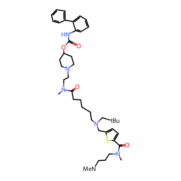 CNCCCN(C)C(=O)c1ccc(CN(CCCCCC(=O)N(C)CCN2CCC(OC(=O)Nc3ccccc3-c3ccccc3)CC2)CC(C)(C)C)s1